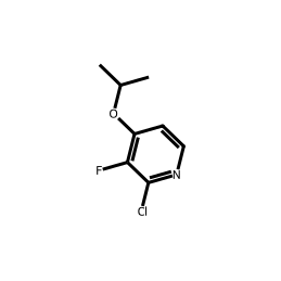 CC(C)Oc1ccnc(Cl)c1F